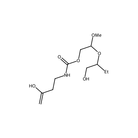 C=C(O)CCNC(=O)OCC(OC)OC(CC)CO